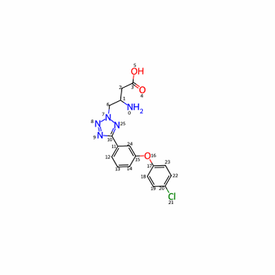 NC(CC(=O)O)Cn1nnc(-c2cccc(Oc3ccc(Cl)cc3)c2)n1